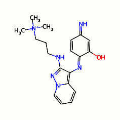 C[N+](C)(C)CCCNc1nn2ccccc2c1/N=C1\C=CC(=N)C=C1O